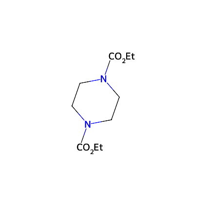 CCOC(=O)N1CCN(C(=O)OCC)CC1